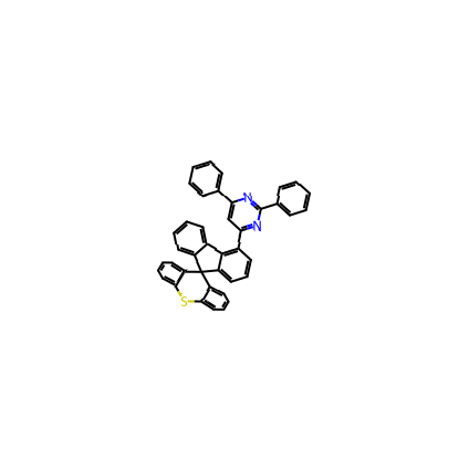 c1ccc(-c2cc(-c3cccc4c3-c3ccccc3C43c4ccccc4Sc4ccccc43)nc(-c3ccccc3)n2)cc1